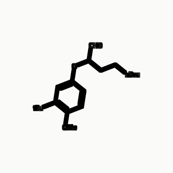 CCCCCCCCCCCCC(C=O)Oc1ccc(OC)c(C(C)(C)C)c1